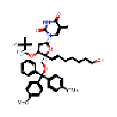 COc1ccc(C(OC[C@@]2(C=CCCCCCO)O[C@@H](n3cc(C)c(=O)[nH]c3=O)CC2O[SiH2]C(C)(C)C(C)C)(c2ccccc2)c2ccc(OC)cc2)cc1